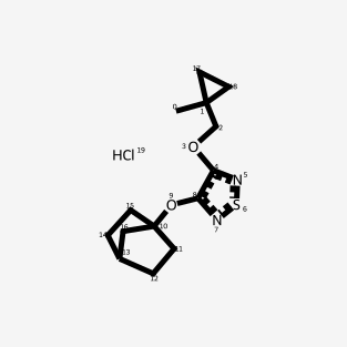 CC1(COc2nsnc2OC23CCC(CC2)C3)CC1.Cl